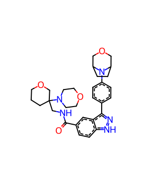 O=C(NCC1(N2CCOCC2)CCCOC1)c1ccc2[nH]nc(-c3ccc(N4C5CCC4COC5)cc3)c2c1